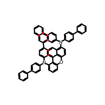 c1ccc(-c2ccc(N(c3ccc(-c4ccccc4)cc3)c3cccc4c3-c3cccc5c(N(c6ccc(-c7ccccc7)cc6)c6ccc(-c7ccccc7)cc6)ccc(c35)O4)cc2)cc1